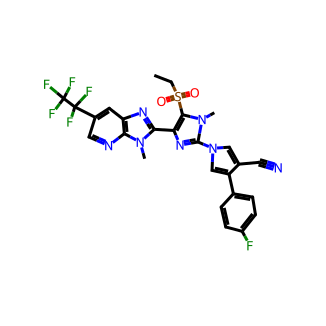 CCS(=O)(=O)c1c(-c2nc3cc(C(F)(F)C(F)(F)F)cnc3n2C)nc(-n2cc(C#N)c(-c3ccc(F)cc3)c2)n1C